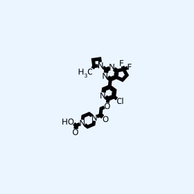 CC1CCN1c1nc(-c2cnc(OCC(=O)N3CCN(C(=O)O)CC3)c(Cl)c2)c2c(n1)C(F)(F)CC2